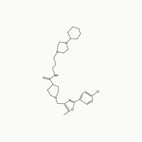 Cc1oc(-c2ccc(Cl)cc2)nc1CN1CCC(C(=O)NCCCN2CCN(C3CCCCC3)CC2)CC1